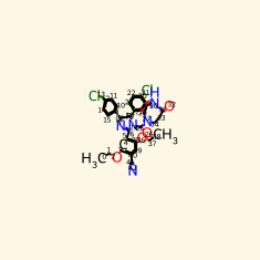 CCOc1cc(C2=N[C@@H](c3ccc(Cl)cc3)[C@@H](c3ccc(Cl)cc3)N2C(=O)N2CCNC(=O)CC2)c(OCC)cc1C#N